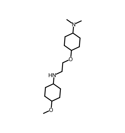 COC1CCC(NCCOC2CCC(N(C)C)CC2)CC1